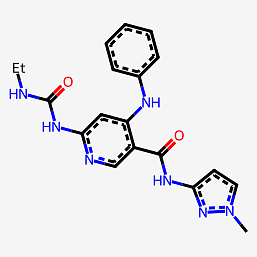 CCNC(=O)Nc1cc(Nc2ccccc2)c(C(=O)Nc2ccn(C)n2)cn1